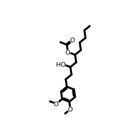 CCCCCC(CC(O)CCc1ccc(OC)c(OC)c1)OC(C)=O